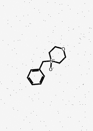 [O-][N+]1(Cc2ccccc2)CCOCC1